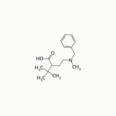 CN(CCC(C(=O)O)C(C)(C)C)Cc1ccccc1